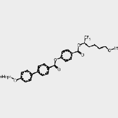 CCCCCCCOc1ccc(-c2ccc(C(=O)Oc3ccc(C(=O)OC(CCCCOCC)C(F)(F)F)cc3)cc2)cc1